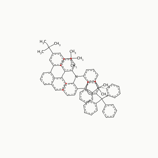 CC(C)(C)c1cc(-c2cccc3cccc(-c4ccccc4N(c4ccccc4-c4ccc5c(c4)C(c4ccccc4)(c4ccccc4)c4ccccc4-5)c4cccc5c4-c4ccccc4C5(C)C)c23)cc(C(C)(C)C)c1